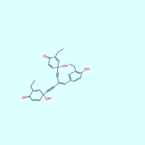 CCC1=CC(O)(C#CC(C#CC2(O)C=CC(=O)C(CC)=C2)=Cc2ccc(O)c(CC)c2)C=CC1=O